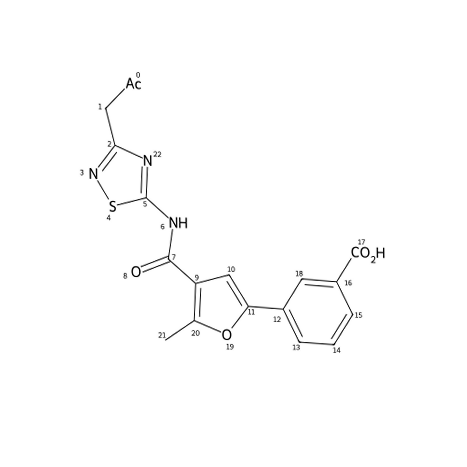 CC(=O)Cc1nsc(NC(=O)c2cc(-c3cccc(C(=O)O)c3)oc2C)n1